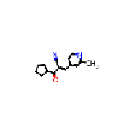 Cc1cc(/C=C(\C#N)C(=O)C2CCCC2)ccn1